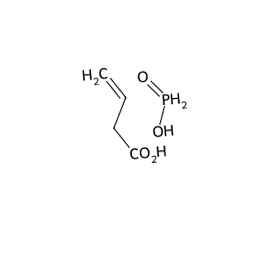 C=CCC(=O)O.O=[PH2]O